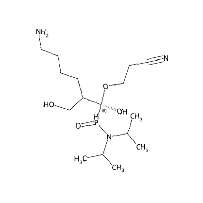 CC(C)N(C(C)C)[PH](=O)[C@](O)(OCCC#N)C(CO)CCCCN